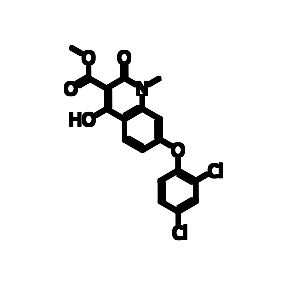 COC(=O)c1c(O)c2ccc(Oc3ccc(Cl)cc3Cl)cc2n(C)c1=O